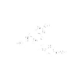 COc1ccc([C@H]2C[C@@H]2COc2nc(C)ncc2-c2cnc(CO)cn2)nc1